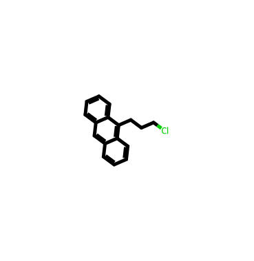 ClCCCc1c2ccccc2cc2ccccc12